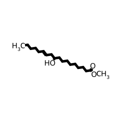 CCCCCC=CCC(O)CCCCCCCCC(=O)OC